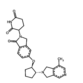 Cc1cncc2c1CN([C@@H]1CCC[C@H]1Oc1ccc3c(c1)CN(C1CCC(=O)NC1=O)C3=O)C2